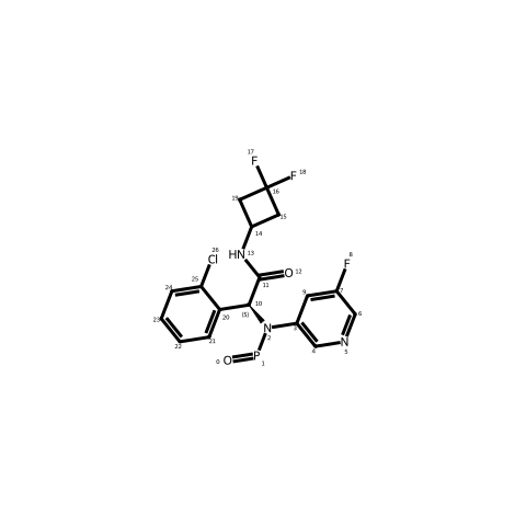 O=PN(c1cncc(F)c1)[C@H](C(=O)NC1CC(F)(F)C1)c1ccccc1Cl